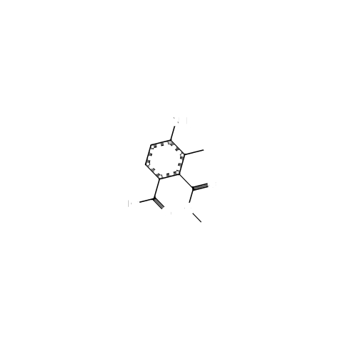 COC(=O)c1c(C(=O)O)ccc(N)c1C